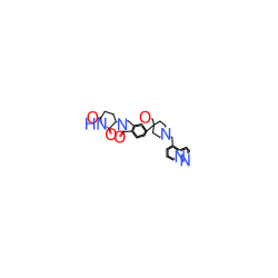 O=C1CCC(N2Cc3c(ccc4c3OCC43CCN(Cc4cccn5nccc45)CC3)C2=O)C(=O)N1